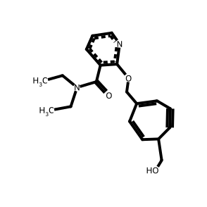 CCN(CC)C(=O)c1cccnc1OCC1=CC#CC(CO)C=C1